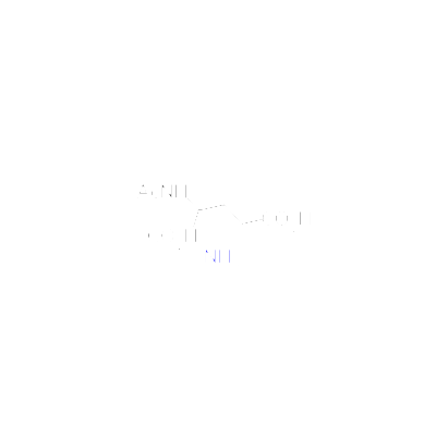 CC(=O)NC(CCC(=O)O)C(=O)O.N